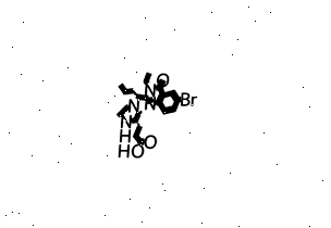 CCC[C@@H](c1nc2ccc(Br)cc2c(=O)n1CC)N1CCN[C@@H](CCC(=O)O)C1